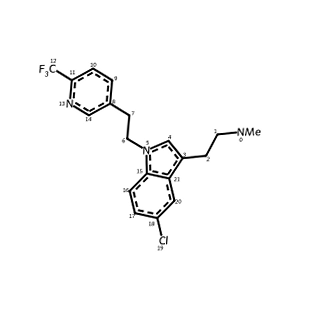 CNCCc1cn(CCc2ccc(C(F)(F)F)nc2)c2ccc(Cl)cc12